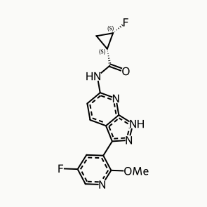 COc1ncc(F)cc1-c1n[nH]c2nc(NC(=O)[C@@H]3C[C@@H]3F)ccc12